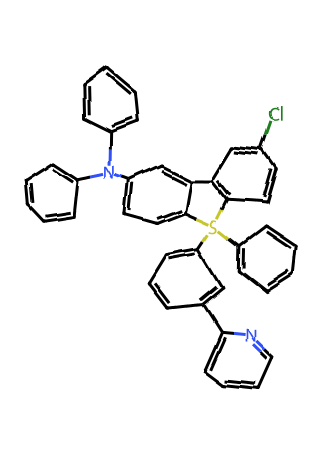 Clc1ccc2c(c1)-c1cc(N(c3ccccc3)c3ccccc3)ccc1S2(c1ccccc1)c1cccc(-c2ccccn2)c1